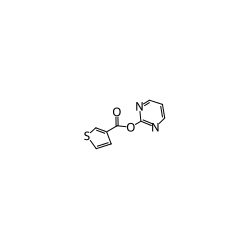 O=C(Oc1ncccn1)c1ccsc1